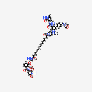 CCN(c1cc(-c2ccc(CN3CCOCC3)cc2)cc(C(=O)NCc2c(C)cc(C)[nH]c2=O)c1C)C1CCN(C(=O)CCCCCCCCCCCCCCC(=O)NCCOc2cccc3c2C(=O)N(C2CCC(=O)NC2=O)C3=O)CC1